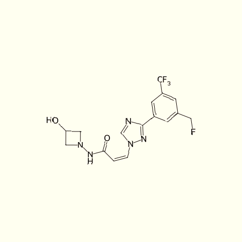 O=C(/C=C\n1cnc(-c2cc(CF)cc(C(F)(F)F)c2)n1)NN1CC(O)C1